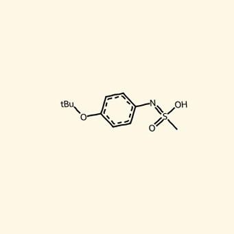 CC(C)(C)Oc1ccc(N=S(C)(=O)O)cc1